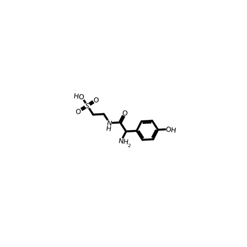 NC(C(=O)NCCS(=O)(=O)O)c1ccc(O)cc1